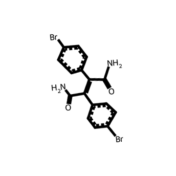 NC(=O)C(=C(C(N)=O)c1ccc(Br)cc1)c1ccc(Br)cc1